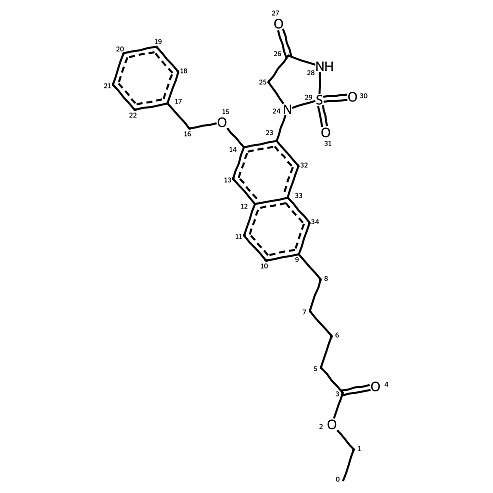 CCOC(=O)CCCCc1ccc2cc(OCc3ccccc3)c(N3CC(=O)NS3(=O)=O)cc2c1